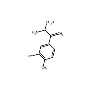 C=C(c1ccc(C)c(O)c1)C(N)C(=O)O